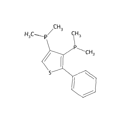 CP(C)c1csc(-c2ccccc2)c1P(C)C